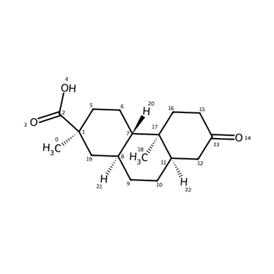 C[C@]1(C(=O)O)CC[C@H]2[C@@H](CC[C@@H]3CC(=O)CC[C@@]32C)C1